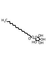 CCCCCCCCCCCCCCCCCC(=O)OC[C@H]1OC(O)[C@H](O)[C@@H](O)[C@@H]1O